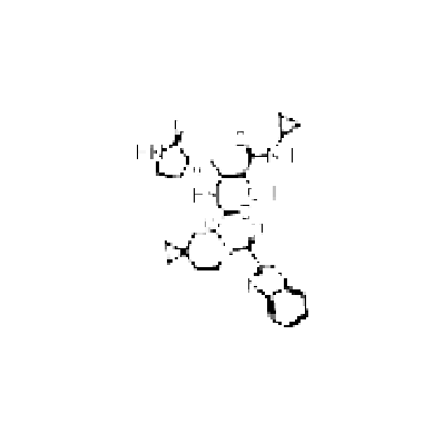 O=C(NC1CC1)C(O)C(C[C@@H]1CCNC1=O)NC(=O)[C@@H]1CC2(CCN1C(=O)c1nc3ccccc3s1)CC2